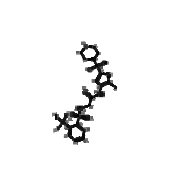 Cc1sc(S(=O)(=O)N2CCSCC2)cc1NC(=O)CNS(=O)(=O)c1ccccc1C(F)(F)F